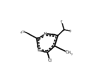 Cc1c(Cl)nc(Cl)nc1C(F)F